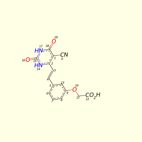 N#Cc1c(/C=C/c2cccc(OCC(=O)O)c2)[nH]c(=O)[nH]c1=O